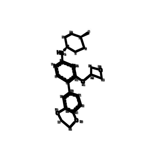 C[C@H]1CC[C@H](Nc2ncc(-c3ccc4c(c3)OCCO4)c(OC3COC3)n2)CC1